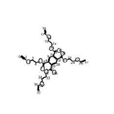 C#COCCOC(=O)c1cc(C(=O)OCCOC=C)c(C(=O)OCCOC=C)cc1C(=O)OCCOC=C